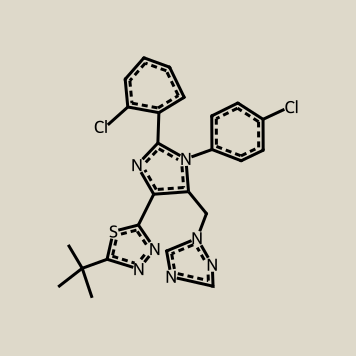 CC(C)(C)c1nnc(-c2nc(-c3ccccc3Cl)n(-c3ccc(Cl)cc3)c2Cn2cncn2)s1